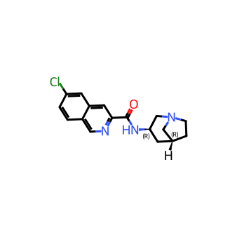 O=C(N[C@@H]1C[C@H]2CCN(C2)C1)c1cc2cc(Cl)ccc2cn1